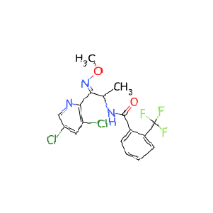 CON=C(c1ncc(Cl)cc1Cl)C(C)NC(=O)c1ccccc1C(F)(F)F